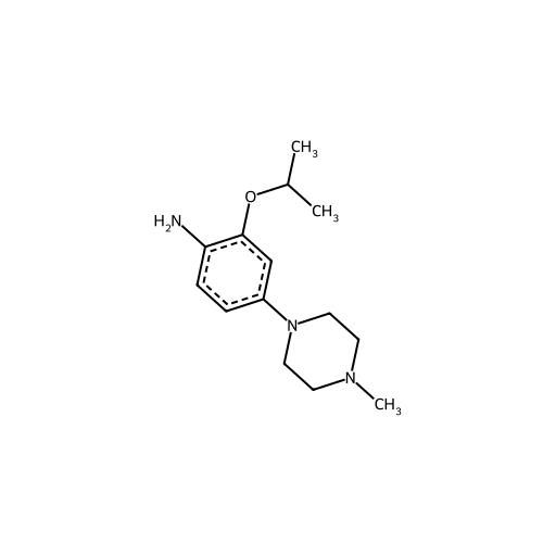 CC(C)Oc1cc(N2CCN(C)CC2)ccc1N